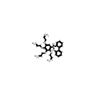 C=CCOc1cc(P2(=O)Oc3ccccc3-c3ccccc32)c(OCC=C)c(OCC=C)c1OCC=C